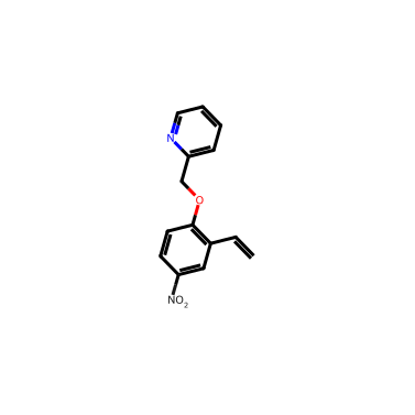 C=Cc1cc([N+](=O)[O-])ccc1OCc1ccccn1